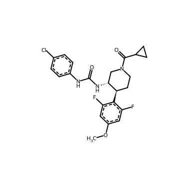 COc1cc(F)c([C@@H]2CCN(C(=O)C3CC3)C[C@H]2NC(=O)Nc2ccc(Cl)cc2)c(F)c1